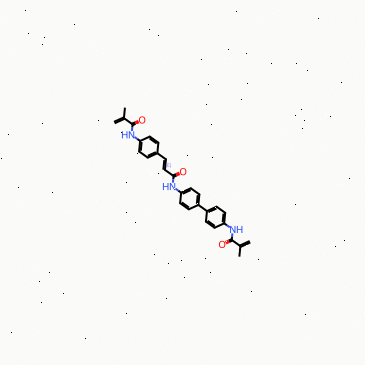 C=C(C)C(=O)Nc1ccc(/C=C/C(=O)Nc2ccc(-c3ccc(NC(=O)C(=C)C)cc3)cc2)cc1